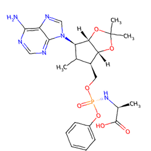 CC1[C@@H](n2cnc3c(N)ncnc32)[C@@H]2OC(C)(C)O[C@@H]2[C@H]1CO[P@@](=O)(N[C@@H](C)C(=O)O)Oc1ccccc1